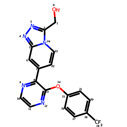 OCc1nnc2cc(-c3nccnc3Oc3ccc(C(F)(F)F)cc3)ccn12